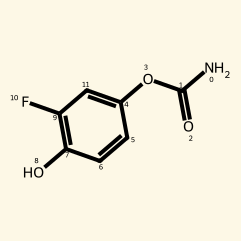 NC(=O)Oc1ccc(O)c(F)c1